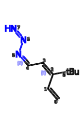 C=C/C(=C\C=N/N=N)C(C)(C)C